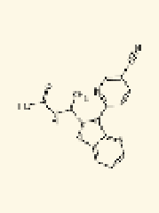 CC(NC(=O)O)c1nc2cccnc2n1-c1ccc(C#N)cn1